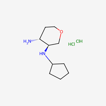 Cl.Cl.N[C@@H]1CCOC[C@H]1NC1CCCC1